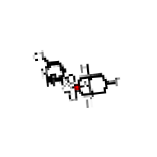 CC(C)(C)OC(=O)N1[C@@H]2CC(F)C[C@H]1CC(Oc1ccc(Cl)nn1)C2